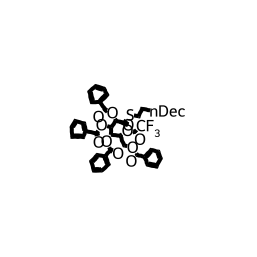 CCCCCCCCCCCCSC(=O)C(OC(=O)c1ccccc1)C(OC(=O)c1ccccc1)C(OC(=O)c1ccccc1)C(COC(=O)c1ccccc1)OC(=O)C(F)(F)F